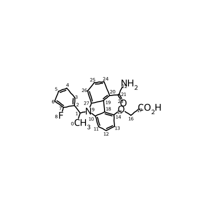 CC(c1ccccc1F)n1c2cccc(OCC(=O)O)c2c2c(C(N)=O)cccc21